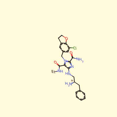 CCNC(=O)c1c(NC[C@H](N)Cc2ccccc2)nc(C(N)=O)n1Cc1cc(Cl)c2c(c1)CCO2